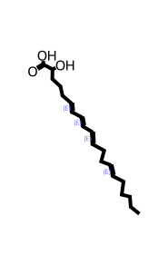 CCCCC/C=C/CC/C=C/C=C/C=C/CCCC(O)C(=O)O